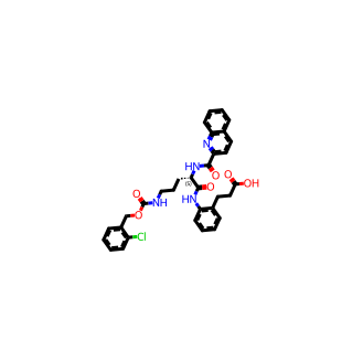 O=C(O)CCc1ccccc1NC(=O)[C@H](CCCNC(=O)OCc1ccccc1Cl)NC(=O)c1ccc2ccccc2n1